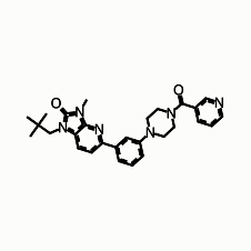 Cn1c(=O)n(CC(C)(C)C)c2ccc(-c3cccc(N4CCN(C(=O)c5cccnc5)CC4)c3)nc21